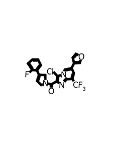 O=C(c1nc2c(C(F)(F)F)cc(-c3ccoc3)cn2c1Cl)N1CC=C(c2ccccc2F)C1